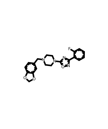 Fc1ccccc1-c1noc(N2CCN(Cc3ccc4c(c3)OCO4)CC2)n1